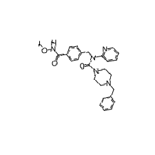 O=C(NOI)c1ccc(CN(C(=O)N2CCN(Cc3ccccc3)CC2)c2ccccn2)cc1